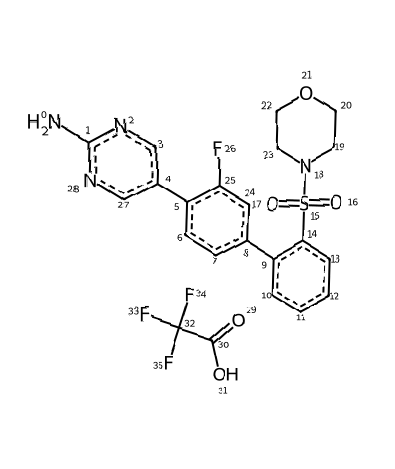 Nc1ncc(-c2ccc(-c3ccccc3S(=O)(=O)N3CCOCC3)cc2F)cn1.O=C(O)C(F)(F)F